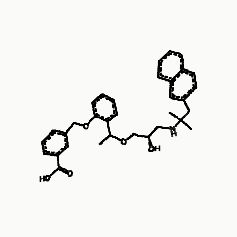 CC(OC[C@H](O)CNC(C)(C)Cc1ccc2ccccc2c1)c1ccccc1OCc1cccc(C(=O)O)c1